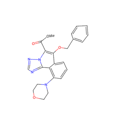 COC(=O)c1c(OCc2ccccc2)c2cccc(N3CCOCC3)c2c2ncnn12